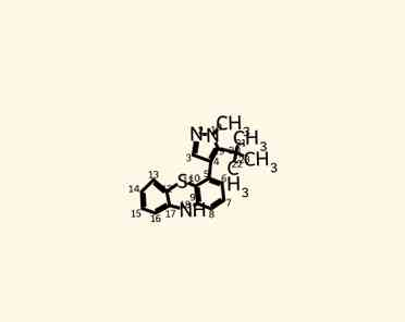 Cn1ncc(-c2cccc3c2Sc2ccccc2N3)c1C(C)(C)C